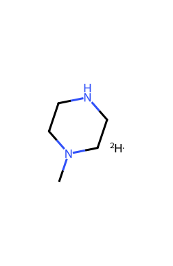 CN1CCNCC1.[2H]